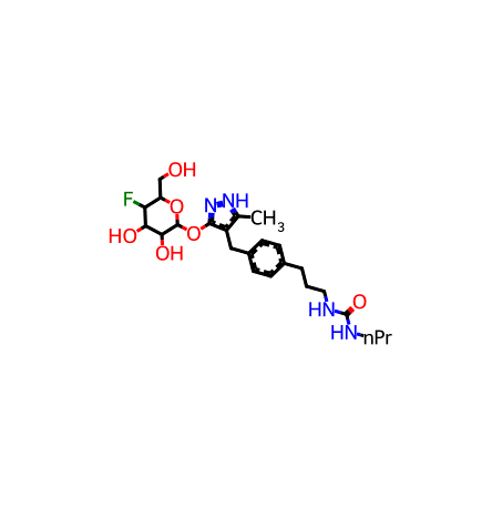 CCCNC(=O)NCCCc1ccc(Cc2c(OC3OC(CO)C(F)C(O)C3O)n[nH]c2C)cc1